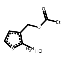 CCC(=O)OCc1ccsc1N.Cl